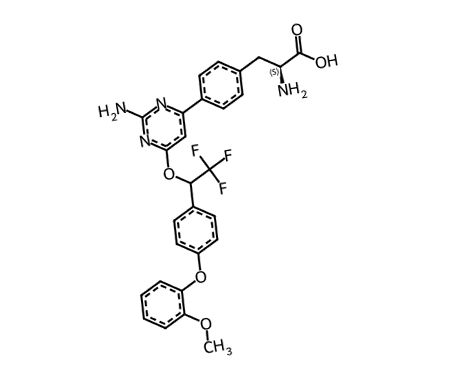 COc1ccccc1Oc1ccc(C(Oc2cc(-c3ccc(C[C@H](N)C(=O)O)cc3)nc(N)n2)C(F)(F)F)cc1